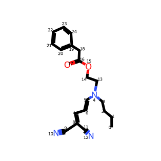 CCCCN(/C=C/C=C(C#N)C#N)CCOC(=O)Cc1ccccc1